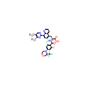 Cc1cnc(-c2ccc(C[C@H](NC(=O)c3c(F)cc(N4CCOC[C@@H]4C(F)(F)F)cc3F)C(=O)O)c3cccnc23)nc1C